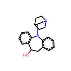 OC1Cc2ccccc2N(C2CN3CCC2CC3)c2ccccc21